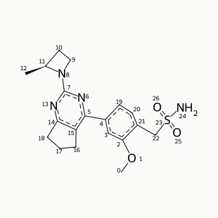 COc1cc(-c2nc(N3CC[C@@H]3C)nc3c2CCC3)ccc1CS(N)(=O)=O